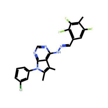 Cc1c(F)cc(C=NNc2ncnc3c2c(C)c(C)n3-c2cccc(Cl)c2)c(F)c1F